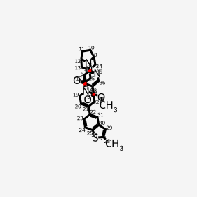 COC(=O)c1ccc(N2C3CCC2CN(CC(=O)N2CC=C(c4ccc5sc(C)cc5c4)CC2)C3)nc1